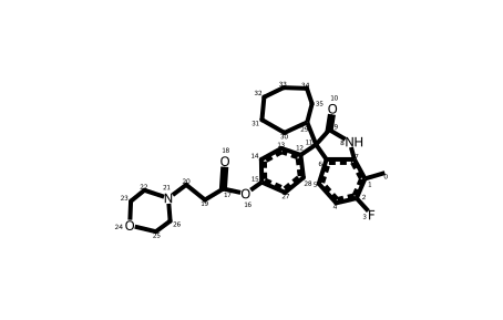 Cc1c(F)ccc2c1NC(=O)C2(c1ccc(OC(=O)CCN2CCOCC2)cc1)C1CCCCCC1